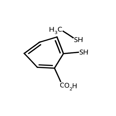 CS.O=C(O)c1ccccc1S